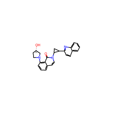 O=c1c2c(N3CC[C@H](O)C3)cccc2ccn1C1CC1c1ccc2ccccc2n1